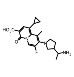 Cc1c(N2CCC(C(C)N)C2)c(F)cn2c(=O)c(C(=O)O)cc(C3CC3)c12